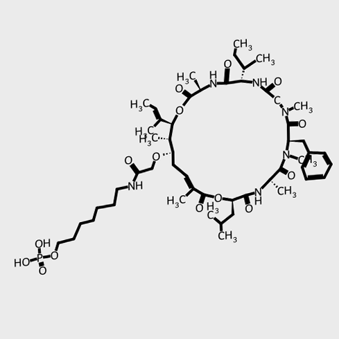 C/C=C(\C)[C@H]1OC(=O)[C@@H](C)NC(=O)[C@H](C(C)CC)NC(=O)CN(C)C(=O)[C@@H](Cc2ccccc2)N(C)C(=O)[C@H](C)NC(=O)[C@@H](CC(C)C)OC(=O)/C(C)=C/C[C@H](OCC(=O)NCCCCCCCOP(=O)(O)O)[C@@H]1C